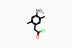 Cc1cc([N+](=O)[O-])c(C)cc1CC(=O)Cl